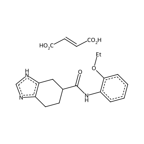 CCOc1ccccc1NC(=O)C1CCc2nc[nH]c2C1.O=C(O)C=CC(=O)O